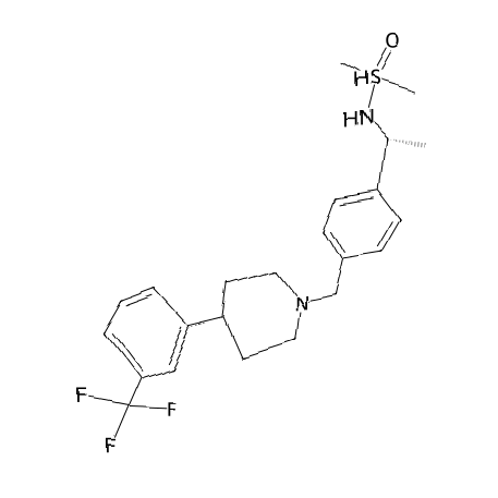 C[C@@H](N[SH](C)(C)=O)c1ccc(CN2CCC(c3cccc(C(F)(F)F)c3)CC2)cc1